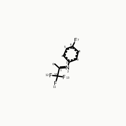 C/C(=N\c1ccc(F)cc1)C(F)(F)F